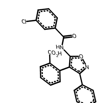 O=C(Nc1onc(-c2ccncc2)c1-c1ccccc1C(=O)O)c1cccc(Cl)c1